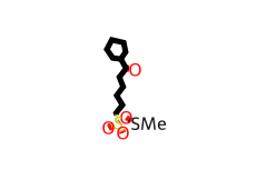 CSOS(=O)(=O)CCCCCC(=O)C1CCCCC1